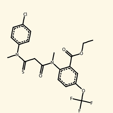 CCOC(=O)c1cc(OC(F)(F)F)ccc1N(C)C(=O)CC(=S)N(C)c1ccc(Cl)cc1